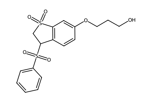 O=S1(=O)CC(S(=O)(=O)c2ccccc2)c2ccc(OCCCO)cc21